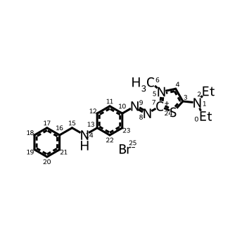 CCN(CC)c1cn(C)[c+](N=Nc2ccc(NCc3ccccc3)cc2)s1.[Br-]